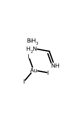 N=CN.[BiH3].[I][Au]([I])[I]